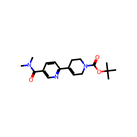 CN(C)C(=O)c1ccc(C2=CCN(C(=O)OC(C)(C)C)CC2)nc1